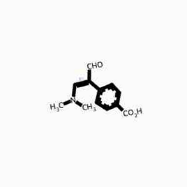 CN(C)/C=C(/C=O)c1ccc(C(=O)O)cc1